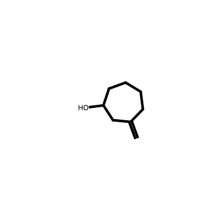 C=C1CCCCC(O)C1